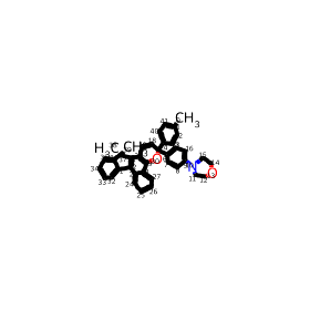 Cc1ccc(C2(c3ccc(N4CCOCC4)cc3)C=Cc3c4c(c5ccccc5c3O2)-c2ccccc2C4(C)C)cc1